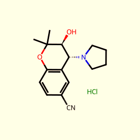 CC1(C)Oc2ccc(C#N)cc2[C@@H](N2CCCC2)[C@@H]1O.Cl